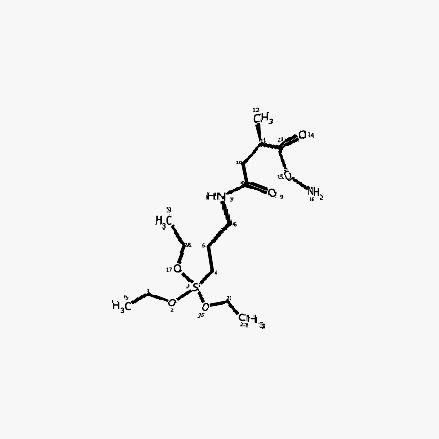 CCO[Si](CCCNC(=O)C[C@@H](C)C(=O)ON)(OCC)OCC